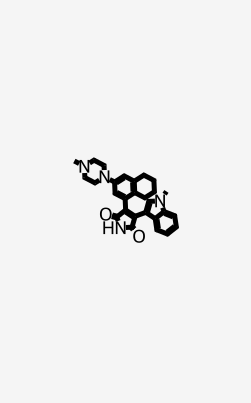 CN1CCN(c2cc3c(c(C4=C(c5cn(C)c6ccccc56)C(=O)NC4=O)c2)CCCC3)CC1